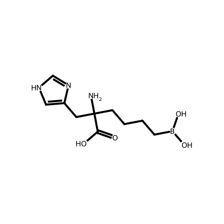 NC(CCCCB(O)O)(Cc1c[nH]cn1)C(=O)O